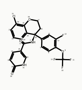 O=C(N[C@]1(c2ccc(OC(F)(F)F)c(F)c2)CCOc2c(Cl)ccnc21)c1ccc(=O)[nH]c1